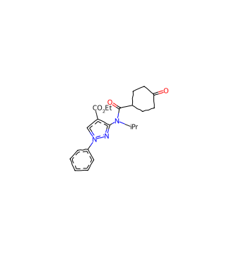 CCOC(=O)c1cn(-c2ccccc2)nc1N(C(=O)C1CCC(=O)CC1)C(C)C